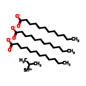 CCCCCCCCCCCC(=O)[O-].CCCCCCCCCCCC(=O)[O-].CCCCCCCCCCCC(=O)[O-].C[CH](C)[Sn+3]